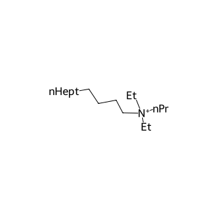 CCCCCCCCCCC[N+](CC)(CC)CCC